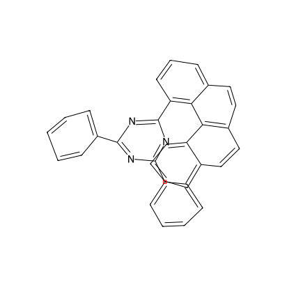 c1ccc(-c2nc(-c3ccccc3)nc(-c3cccc4ccc5ccc6ccccc6c5c34)n2)cc1